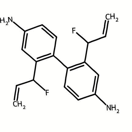 C=CC(F)c1cc(N)ccc1-c1ccc(N)cc1C(F)C=C